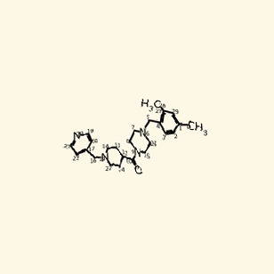 Cc1ccc(CN2CCN(C(=O)C3CCN(Cc4ccncc4)CC3)CC2)c(C)c1